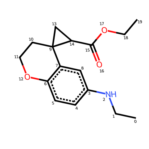 CCNc1ccc2c(c1)C1(CCO2)CC1C(=O)OCC